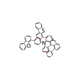 c1ccc(-c2cccc3cccc(-c4ccccc4N(c4ccc(-c5cccc6c5oc5ccccc56)cc4)c4ccccc4-c4cccc5c4sc4ccccc45)c23)cc1